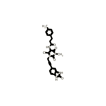 Cc1ccc(CCC(=O)Nc2c(Cl)n(CC#Cc3ccc4[nH]c(=O)[nH]c4c3)c(=O)n(C)c2=O)cc1